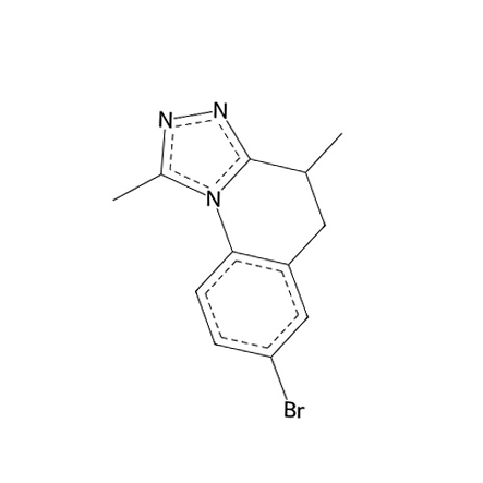 Cc1nnc2n1-c1ccc(Br)cc1CC2C